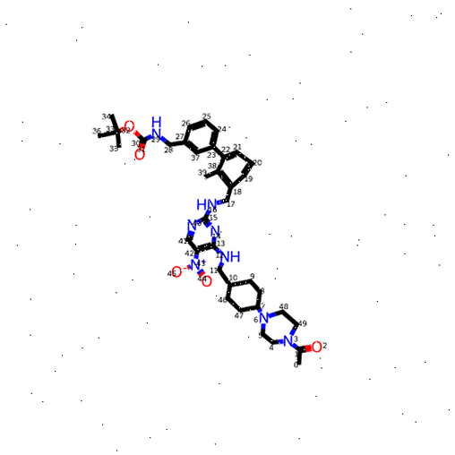 CC(=O)N1CCN(C2CCC(CNc3nc(NCc4cccc(-c5cccc(CNC(=O)OC(C)(C)C)c5)c4C)ncc3[N+](=O)[O-])CC2)CC1